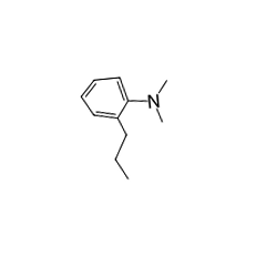 CCCc1ccccc1N(C)C